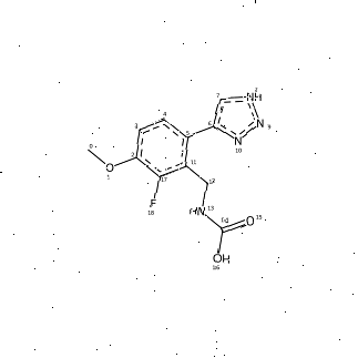 COc1ccc(-c2c[nH]nn2)c(CNC(=O)O)c1F